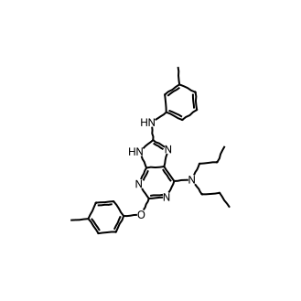 CCCN(CCC)c1nc(Oc2ccc(C)cc2)nc2[nH]c(Nc3cccc(C)c3)nc12